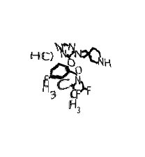 CC(C)N(CC(F)F)C(=O)c1cc(F)ccc1Oc1nncnc1N1CC2(CCNCC2)C1.Cl